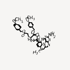 COc1ccc(COC(=O)CC[C@H](NC(=O)c2ccc(N(C)Cc3cnc4nc(N)nc(N)c4n3)cc2)C(=O)OCc2ccc(OC)cc2)cc1